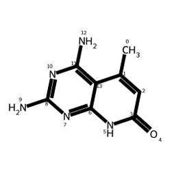 Cc1cc(=O)[nH]c2nc(N)nc(N)c12